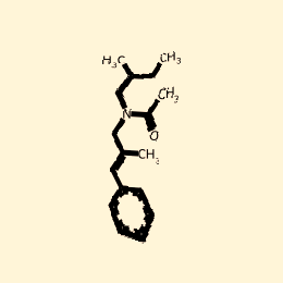 CCC(C)CN(C/C(C)=C/c1ccccc1)C(C)=O